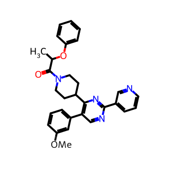 COc1cccc(-c2cnc(-c3cccnc3)nc2C2CCN(C(=O)C(C)Oc3ccccc3)CC2)c1